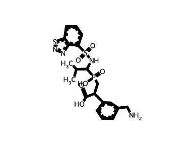 CC(C)C(NS(=O)(=O)c1cccc2snnc12)P(=O)(O)CC(C(=O)O)c1cccc(CN)c1